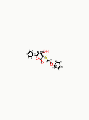 O=c1oc(-c2ccccc2)cc(O)c1SCCOc1ccccc1